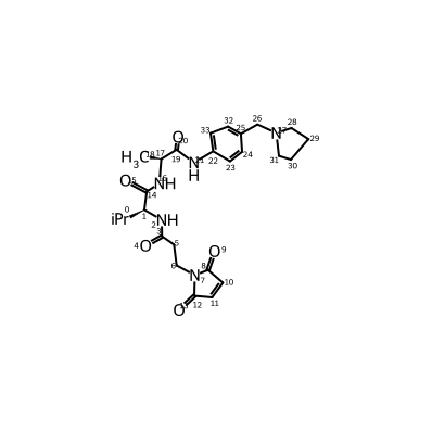 CC(C)[C@H](NC(=O)CCN1C(=O)C=CC1=O)C(=O)N[C@@H](C)C(=O)Nc1ccc(CN2CCCC2)cc1